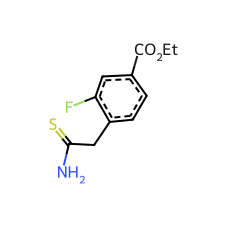 CCOC(=O)c1ccc(CC(N)=S)c(F)c1